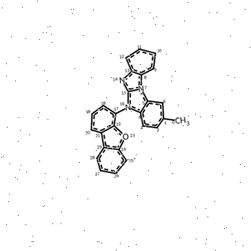 Cc1ccc2c(c1)n1c3ccccc3nc1n2-c1cccc2c1oc1ccccc12